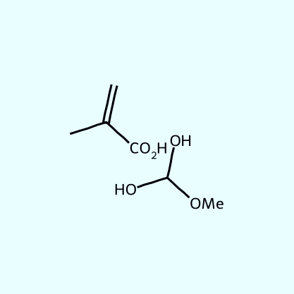 C=C(C)C(=O)O.COC(O)O